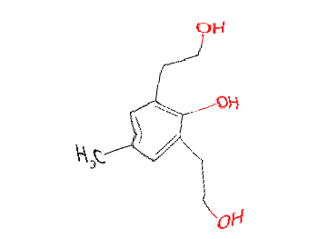 Cc1cc(CCO)c(O)c(CCO)c1